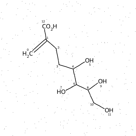 C=C(CCC(O)C(O)C(O)CO)C(=O)O